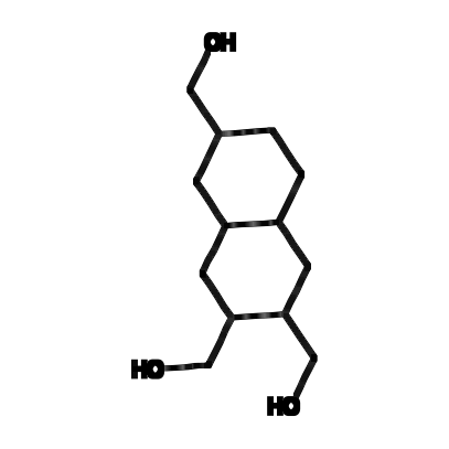 OCC1CCC2CC(CO)C(CO)CC2C1